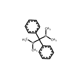 CN(C)C(c1ccccc1)(c1ccccc1)N(C)C